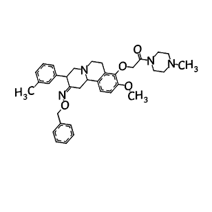 COc1ccc2c(c1OCC(=O)N1CCN(C)CC1)CCN1CC(c3cccc(C)c3)C(=NOCc3ccccc3)CC21